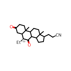 CC[C@@H]1C(=O)C2C3CCC(CCC#N)C3(C)CCC2C2(C)CCC(=O)CC12